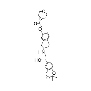 CC1(C)OCc2cc([C@H](O)CN[C@H]3CCc4ccc(OCC(=O)N5CCOCC5)cc4C3)ccc2O1